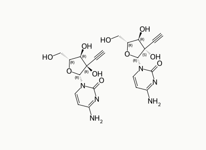 C#C[C@@]1(O)[C@H](O)[C@@H](CO)O[C@H]1n1ccc(N)nc1=O.C#C[C@]1(O)[C@H](O)[C@@H](CO)O[C@H]1n1ccc(N)nc1=O